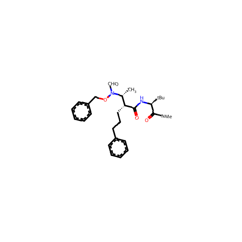 CNC(=O)[C@@H](NC(=O)[C@H](CCCc1ccccc1)[C@@H](C)N(C=O)OCc1ccccc1)C(C)(C)C